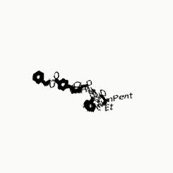 CCCCCC(C(=O)NCNC(=O)c1ccc(-c2ccc(C(=O)OCCc3ccccc3)cc2)o1)C(CC)N(C=O)OCc1ccccc1